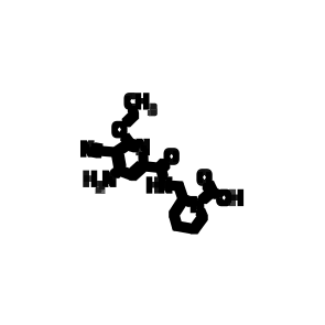 CCOc1nc(C(=O)NCC2CCCCN2C(=O)O)cc(N)c1C#N